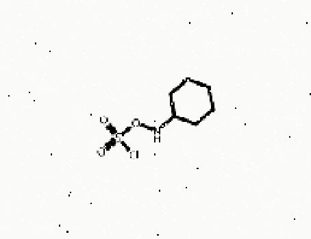 O=S(=O)(Cl)ONC1CCCCC1